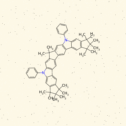 CC1(C)c2cc3c(cc2-c2cc4c5cc6c(cc5n(-c5ccccc5)c4cc21)C(C)(C)C(C)(C)C6(C)C)c1cc2c(cc1n3-c1ccccc1)C(C)(C)C(C)(C)C2(C)C